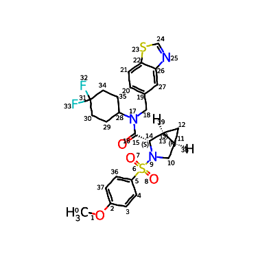 COc1ccc(S(=O)(=O)N2C[C@@H]3C[C@@H]3[C@H]2C(=O)N(Cc2ccc3scnc3c2)C2CCC(F)(F)CC2)cc1